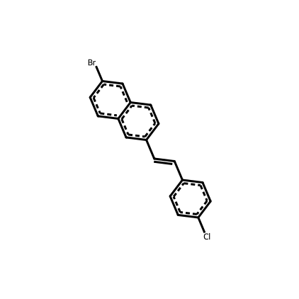 Clc1ccc(/C=C/c2ccc3cc(Br)ccc3c2)cc1